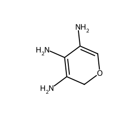 NC1=COCC(N)=C1N